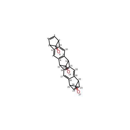 O=C1C2C=CC1c1cc3c(cc12)C1C(=O)C3c2cc3c(cc21)C1C=CC3C1=O